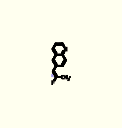 [CH2]/C(F)=C\c1ccc2ncccc2c1